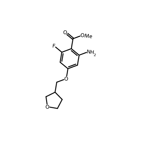 COC(=O)c1c(N)cc(OCC2CCOC2)cc1F